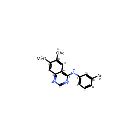 COc1cc2ncnc(Nc3cccc(C(C)=O)c3)c2cc1OC(C)=O